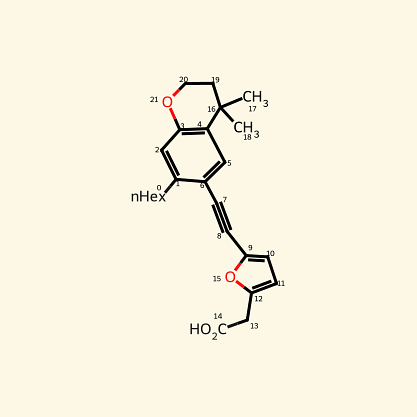 CCCCCCc1cc2c(cc1C#Cc1ccc(CC(=O)O)o1)C(C)(C)CCO2